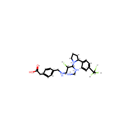 O=C(O)Cc1ccc(CNC2NCNC(N3CCCC3c3ccc(C(F)(F)F)cc3)C2F)cc1